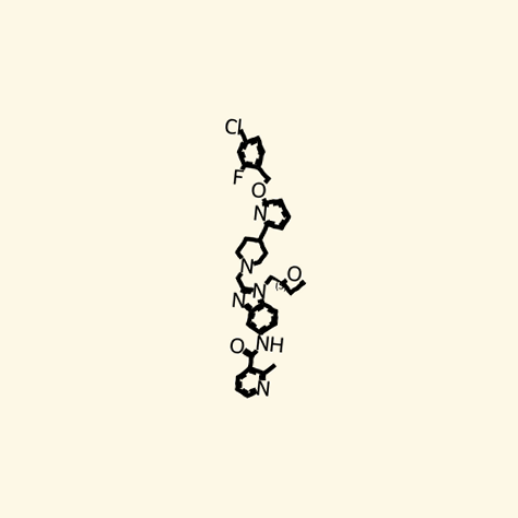 Cc1ncccc1C(=O)Nc1ccc2c(c1)nc(CN1CCC(c3cccc(OCc4ccc(Cl)cc4F)n3)CC1)n2C[C@@H]1CCO1